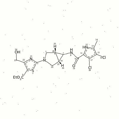 CCOC(=O)c1sc(N2C[C@@H]3C(NC(=O)c4[nH]c(C)c(Cl)c4Cl)[C@@H]3C2)nc1CO